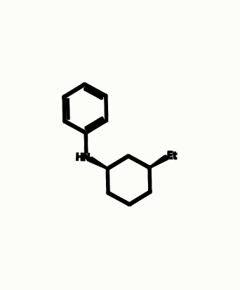 CC[C@H]1CCC[C@@H](Nc2ccccc2)C1